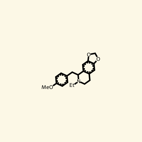 CCN1CCc2cc3c(cc2C1Cc1ccc(OC)cc1)OCO3